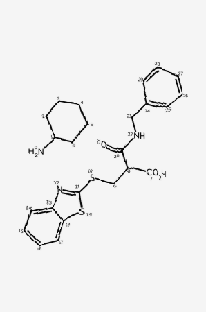 NC1CCCCC1.O=C(O)C(CSc1nc2ccccc2s1)C(=O)NCc1ccccc1